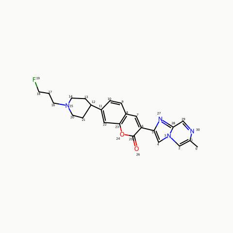 Cc1cn2cc(-c3cc4ccc(C5CCN(CCCF)CC5)cc4oc3=O)nc2cn1